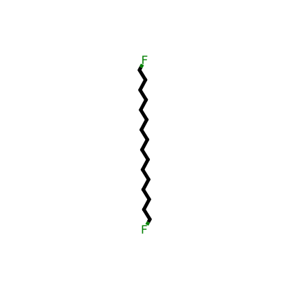 FCCCCCCCCCCCCCCCCF